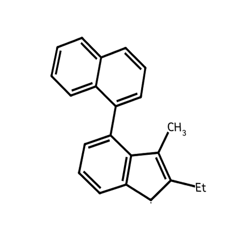 CCC1=C(C)c2c(cccc2-c2cccc3ccccc23)[CH]1